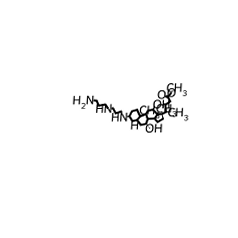 COC(=O)CC[C@@H](C)[C@H]1CCC2C3C(C[C@H](O)[C@@]21C)[C@@]1(C)CC[C@H](NCCCNCCCN)C[C@H]1C[C@H]3O